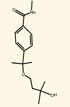 CNC(=O)c1ccc(C(C)(C)OCCC(C)(C)O)cc1